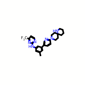 Cc1cc(Nc2nccc(C(F)(F)F)n2)cc(-c2ccc(N3CCC4(CCCCN4)CC3)nc2)c1